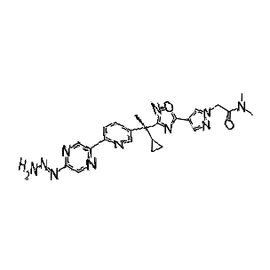 CN(C)C(=O)Cn1cc(-c2nc([C@@](C)(c3ccc(-c4cnc(N=NN)cn4)nc3)C3CC3)no2)cn1